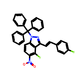 O=[N+]([O-])c1ccc2c(c(/C=C/c3ccc(F)cc3)nn2C(c2ccccc2)(c2ccccc2)c2ccccc2)c1F